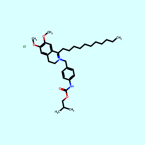 CCCCCCCCCCCC1=[N+](Cc2ccc(NC(=O)OCC(C)C)cc2)CCc2cc(OC)c(OC)cc21.[Cl-]